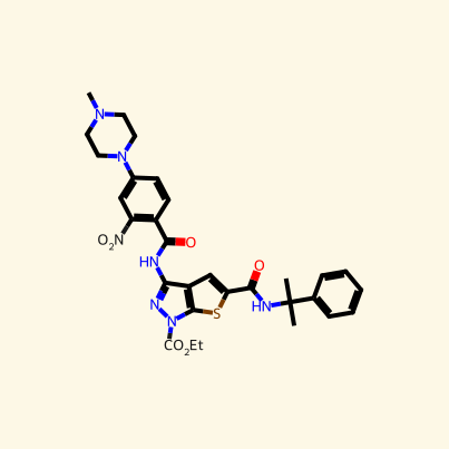 CCOC(=O)n1nc(NC(=O)c2ccc(N3CCN(C)CC3)cc2[N+](=O)[O-])c2cc(C(=O)NC(C)(C)c3ccccc3)sc21